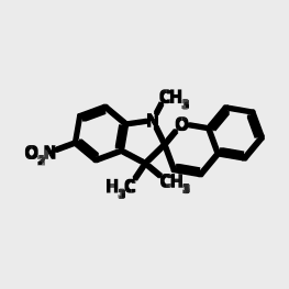 CN1c2ccc([N+](=O)[O-])cc2C(C)(C)C12C=Cc1ccccc1O2